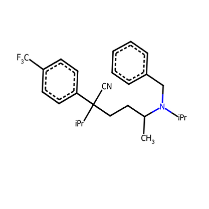 CC(C)N(Cc1ccccc1)C(C)CCC(C#N)(c1ccc(C(F)(F)F)cc1)C(C)C